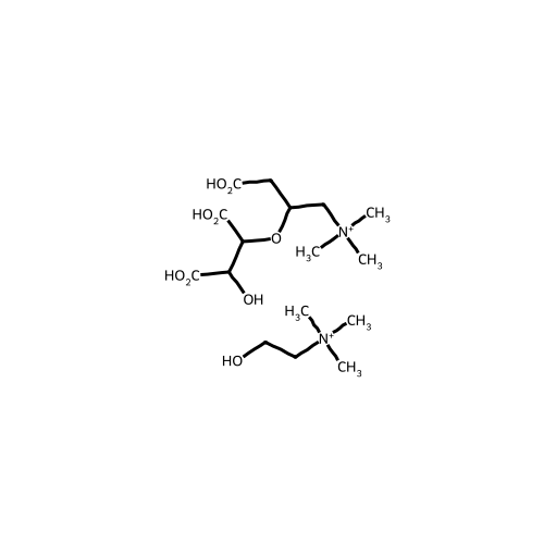 C[N+](C)(C)CC(CC(=O)O)OC(C(=O)O)C(O)C(=O)O.C[N+](C)(C)CCO